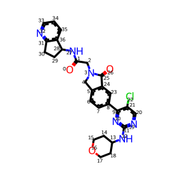 O=C(CN1Cc2ccc(-c3nc(NC4CCOCC4)ncc3Cl)cc2C1=O)NC1CCc2ncccc21